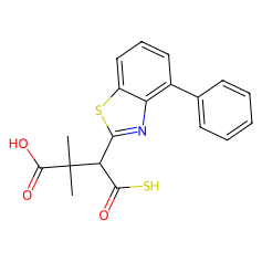 CC(C)(C(=O)O)C(C(=O)S)c1nc2c(-c3ccccc3)cccc2s1